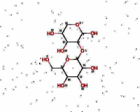 OCC1OC(OC2C(O)OCC(O)C2O)C(O)C(O)C1O